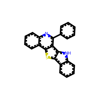 c1ccc(-c2nc3ccccc3c3sc4c5ccccc5[nH]c4c23)cc1